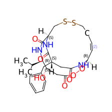 CC(C)[C@H]1NC(=O)[C@H]2CSSCC/C=C\[C@H](NC(=O)C[C@H](Cc3ccccc3)C(=O)N2)OOC(=O)C[C@@H]1O